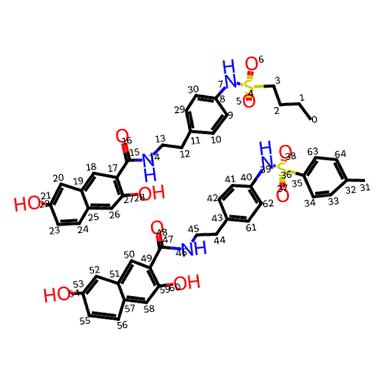 CCCCS(=O)(=O)Nc1ccc(CCNC(=O)c2cc3cc(O)ccc3cc2O)cc1.Cc1ccc(S(=O)(=O)Nc2ccc(CCNC(=O)c3cc4cc(O)ccc4cc3O)cc2)cc1